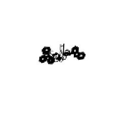 O=C(N[C@H](CCSC(c1ccccc1)(c1ccccc1)c1ccccc1)C(=O)O)OCc1cccc2c1Cc1ccccc1-2